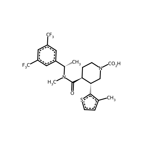 Cc1ccsc1[C@H]1CN(C(=O)O)CC[C@@H]1C(=O)N(C)[C@@H](C)c1cc(C(F)(F)F)cc(C(F)(F)F)c1